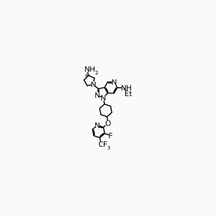 CCNc1cc2c(cn1)c(N1CC[C@@H](N)C1)nn2C1CCC(Oc2nccc(C(F)(F)F)c2F)CC1